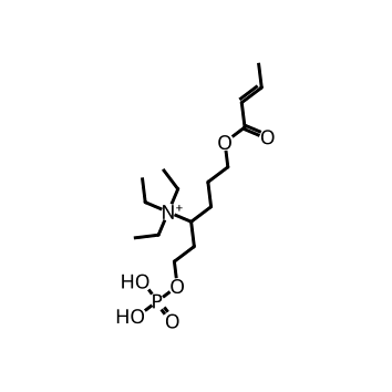 CC=CC(=O)OCCCC(CCOP(=O)(O)O)[N+](CC)(CC)CC